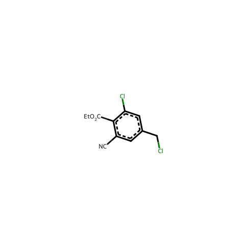 CCOC(=O)c1c(Cl)cc(CCl)cc1C#N